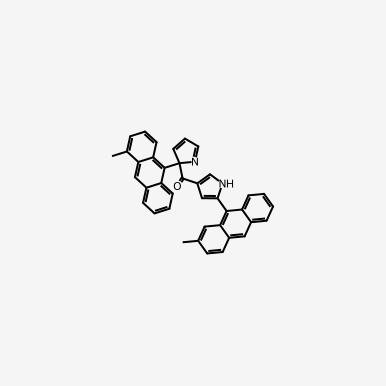 Cc1ccc2cc3ccccc3c(-c3cc(C(=O)C4(c5c6ccccc6cc6c(C)cccc56)C=CC=N4)c[nH]3)c2c1